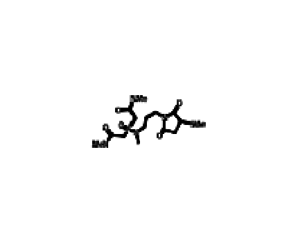 CNC(=O)CP(=O)(CC(=O)NC)N(C)CCCN1C(=O)CC(SC)C1=O